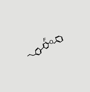 CCCc1ccc(-c2ccc(OCc3ccccc3)c(F)c2)cc1